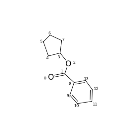 O=C(OC1CCCC1)c1[c]cccc1